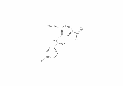 N#Cc1ccc([N+](=O)[O-])cc1NC(=O)c1ccc(F)cc1